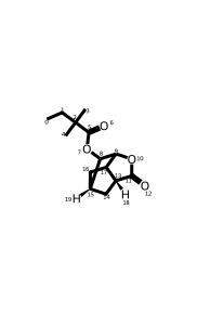 CCC(C)(C)C(=O)OC1C2OC(=O)[C@@H]3C[C@@H]1CC23